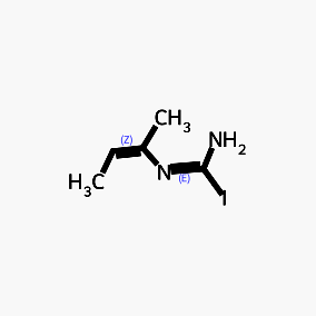 C/C=C(C)\N=C(/N)I